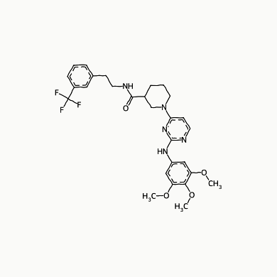 COc1cc(Nc2nccc(N3CCCC(C(=O)NCCc4cccc(C(F)(F)F)c4)C3)n2)cc(OC)c1OC